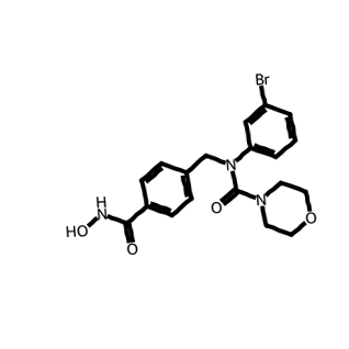 O=C(NO)c1ccc(CN(C(=O)N2CCOCC2)c2cccc(Br)c2)cc1